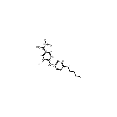 CCCCCc1ccc(Oc2ncc(C(=O)N(C)C)cc2F)cc1